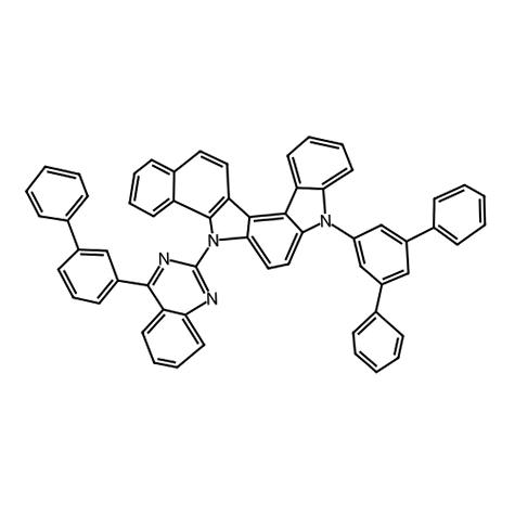 c1ccc(-c2cccc(-c3nc(-n4c5ccc6c(c7ccccc7n6-c6cc(-c7ccccc7)cc(-c7ccccc7)c6)c5c5ccc6ccccc6c54)nc4ccccc34)c2)cc1